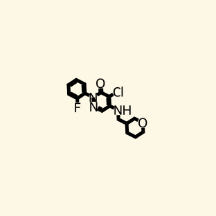 O=c1c(Cl)c(NCC2CCCOC2)cnn1-c1ccccc1F